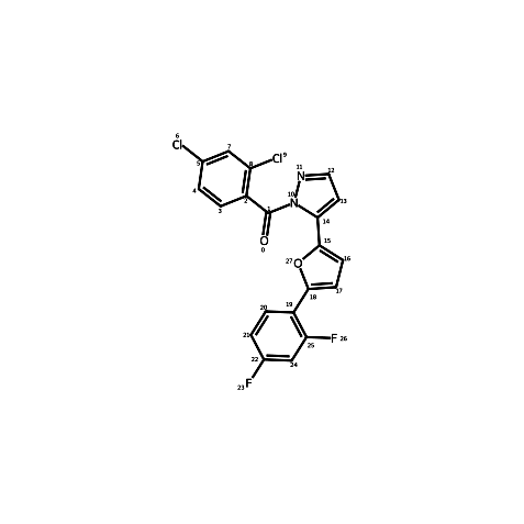 O=C(c1ccc(Cl)cc1Cl)n1nccc1-c1ccc(-c2ccc(F)cc2F)o1